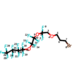 FC(F)(COCCCBr)OC(F)(F)C(F)(F)OC(F)(F)C(F)(F)C(F)(F)C(F)(F)F